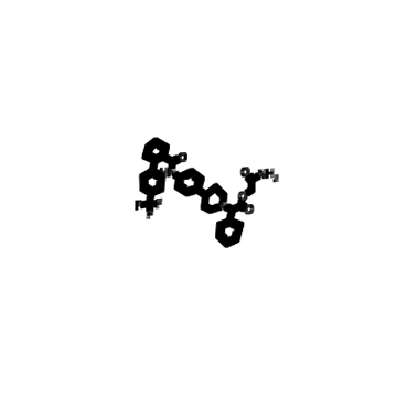 NC(=O)COC(=O)C(c1ccccc1)N1CCC(c2ccc(NC(=O)c3ccccc3-c3ccc(C(F)(F)F)cc3)cc2)CC1